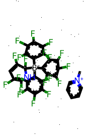 C[n+]1ccccc1.FC1=CC(F)=C(F)NC1(F)[B-](c1c(F)c(F)c(F)c(F)c1F)(c1c(F)c(F)c(F)c(F)c1F)c1c(F)c(F)c(F)c(F)c1F